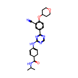 CC(C)NC(=O)C1C=CC(Nc2ncnc(-c3ccc(OC4CCOCC4)c(C#N)c3)n2)=CC1